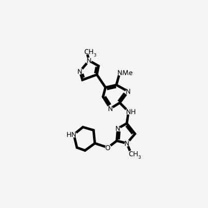 CNc1nc(Nc2cn(C)c(OC3CCNCC3)n2)ncc1-c1cnn(C)c1